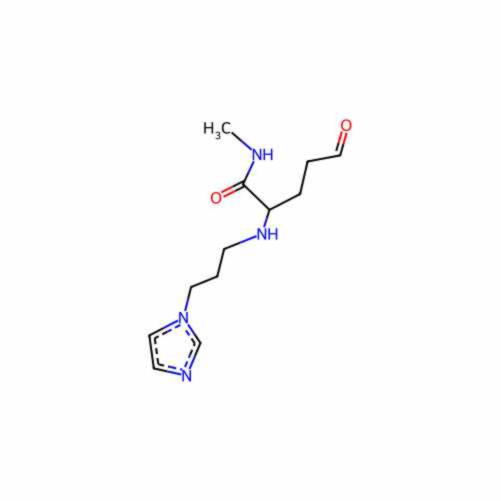 CNC(=O)C(CCC=O)NCCCn1ccnc1